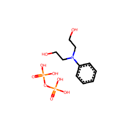 O=P(O)(O)OP(=O)(O)O.OCCN(CCO)c1ccccc1